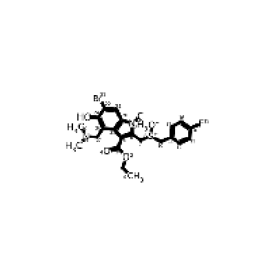 CCOC(=O)c1c(C[S+]([O-])Cc2ccc(F)cc2)n(C)c2cc(Br)c(O)c(CN(C)C)c12